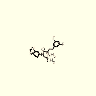 C=CCN(C(=O)[C@@H](N)CCc1cc(F)cc(F)c1)c1ccc2scnc2c1